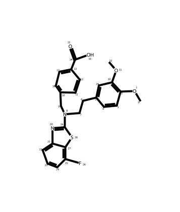 COc1ccc(CCN(Cc2ccc(C(=O)O)cc2)c2nc3cccc(F)c3s2)cc1OC